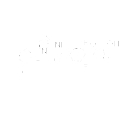 CO/C(=C\c1c(F)cc(C(=O)Nc2nc(-c3cccc(OCC4CCCCC4)c3F)cs2)cc1F)C(=O)O